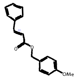 COc1ccc(COC(=O)/C=C/c2ccccc2)cc1